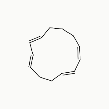 C1=C\CCC/C=C/C=C/CC/C=C/1